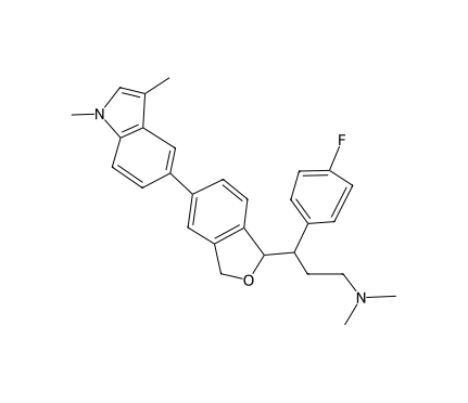 Cc1cn(C)c2ccc(-c3ccc4c(c3)COC4C(CCN(C)C)c3ccc(F)cc3)cc12